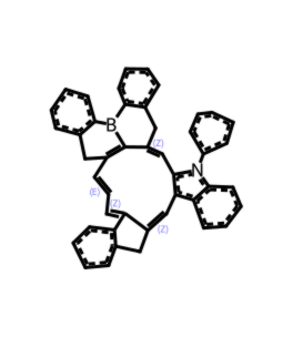 C1=C2/Cc3ccccc3B3C2=C(/C=C/C=C2/C(=C\c4c/1n(-c1ccccc1)c1ccccc41)Cc1ccccc12)Cc1ccccc13